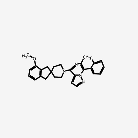 COc1cccc2c1CC1(CCN(c3nc(C)c(-c4ccccc4F)n4nccc34)CC1)C2